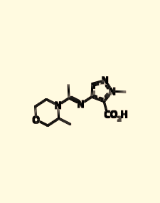 CC(=Nc1cnn(C)c1C(=O)O)N1CCOCC1C